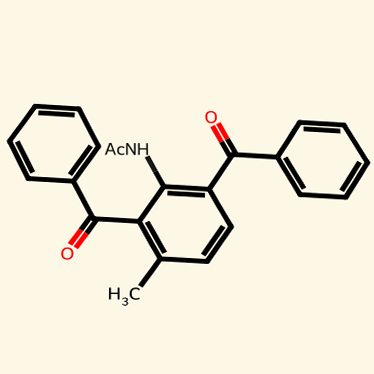 CC(=O)Nc1c(C(=O)c2ccccc2)ccc(C)c1C(=O)c1ccccc1